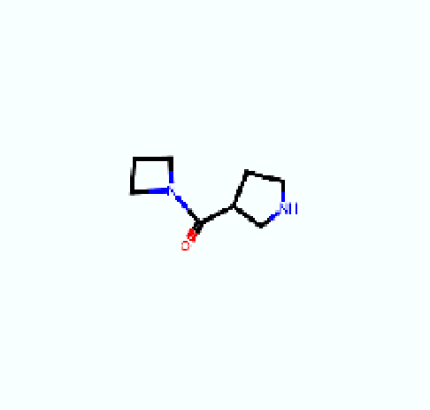 O=C(C1CCNC1)N1CCC1